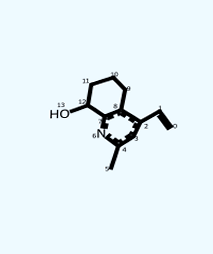 C=Cc1cc(C)nc2c1CCCC2O